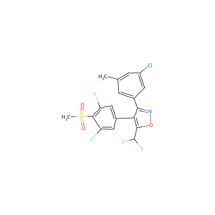 Cc1cc(Cl)cc(-c2noc(C(F)F)c2-c2cc(F)c(S(C)(=O)=O)c(F)c2)c1